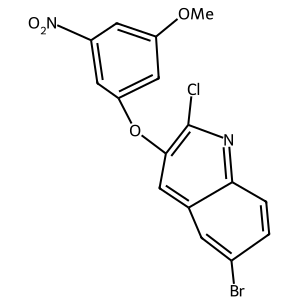 COc1cc(Oc2cc3cc(Br)ccc3nc2Cl)cc([N+](=O)[O-])c1